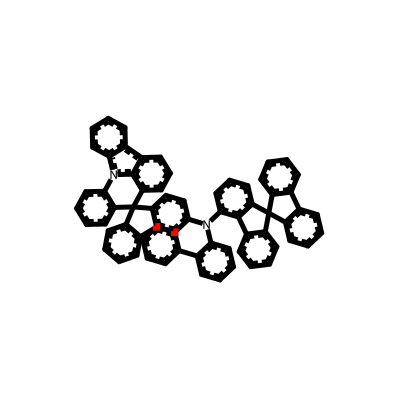 c1ccc(-c2ccccc2N(c2ccc3c(c2)-c2ccccc2C32c3ccccc3-n3c4ccccc4c4cccc2c43)c2cccc3c2-c2ccccc2C32c3ccccc3-c3ccccc32)cc1